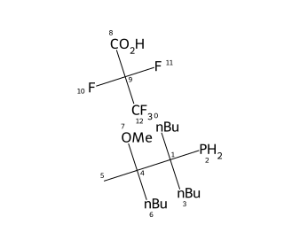 CCCCC(P)(CCCC)C(C)(CCCC)OC.O=C(O)C(F)(F)C(F)(F)F